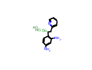 Cl.Cl.Cl.Nc1ccc(CCc2ccccn2)c(N)c1